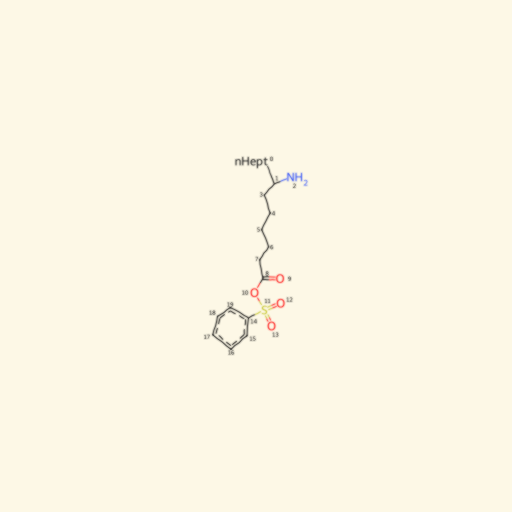 CCCCCCCC(N)CCCCCC(=O)OS(=O)(=O)c1ccccc1